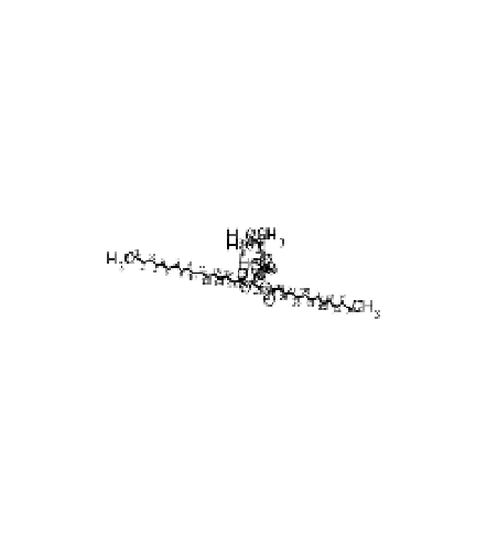 CCCCCCCCCCCCCCCCCC(=O)OC(COC(=O)CCCCCCCCCCCCC)COP(=O)(O)OCC[N+](C)(C)C